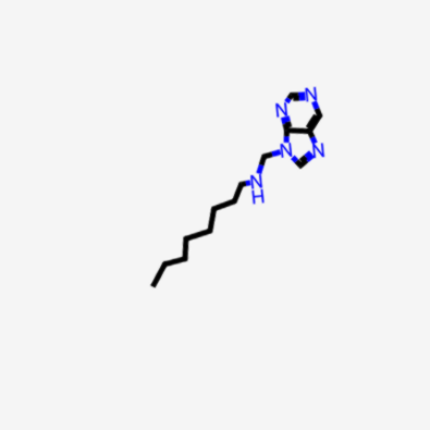 CCCCCCCCNCn1cnc2cncnc21